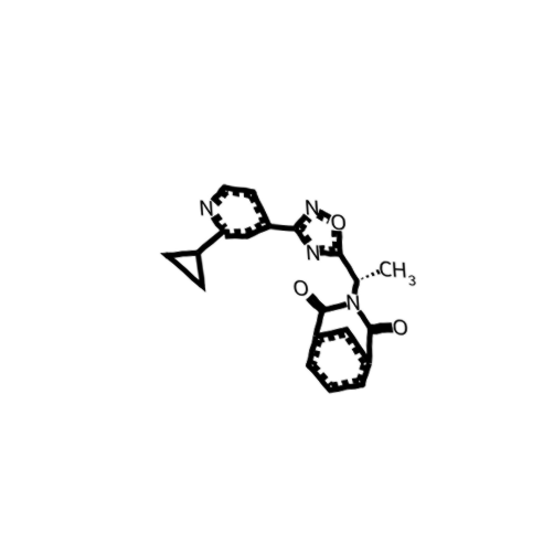 C[C@@H](c1nc(-c2ccnc(C3CC3)c2)no1)N1C(=O)c2cccc(c2)C1=O